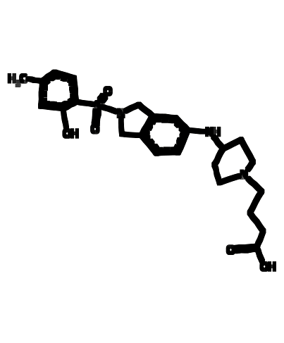 Cc1ccc(S(=O)(=O)N2Cc3ccc(NC4CCN(CCCC(=O)O)CC4)cc3C2)c(O)c1